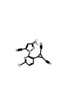 Cc1cc(C#N)n(-c2nc(Cl)ccc2C2C(C#N)C2C#N)n1